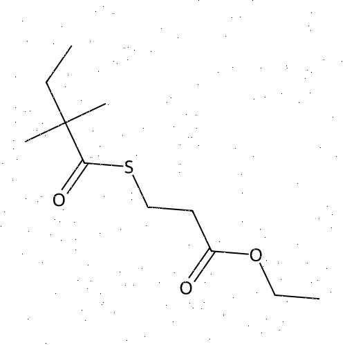 CCOC(=O)CCSC(=O)C(C)(C)CC